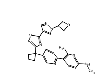 CNc1cnc(-c2ccc(C3(c4noc(-c5cnn(C6COC6)c5)n4)CCC3)cn2)c(C)n1